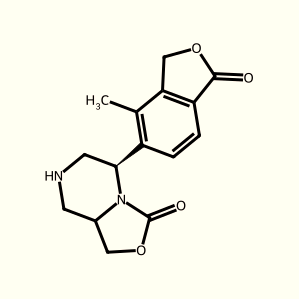 Cc1c([C@@H]2CNCC3COC(=O)N32)ccc2c1COC2=O